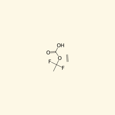 C=C.CC(F)(F)OC(=O)O